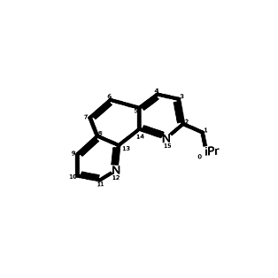 CC(C)Cc1ccc2ccc3cccnc3c2n1